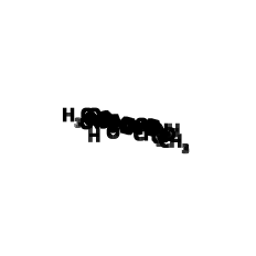 CC(Oc1ccc(NS(C)(=O)=O)cc1)N1CCC(C2Cc3ccc(NS(C)(=O)=O)cc3C2=O)CC1